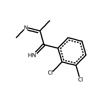 C/N=C(/C)C(=N)c1cccc(Cl)c1Cl